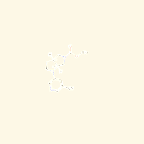 CC(C)(C)OC(=O)N1C[C@@H]2CCN(c3cncc(C#N)c3)[C@@H]2C1